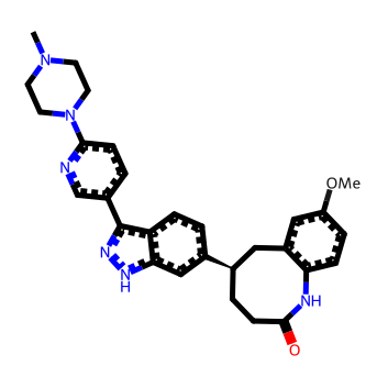 COc1ccc2c(c1)C[C@H](c1ccc3c(-c4ccc(N5CCN(C)CC5)nc4)n[nH]c3c1)CCC(=O)N2